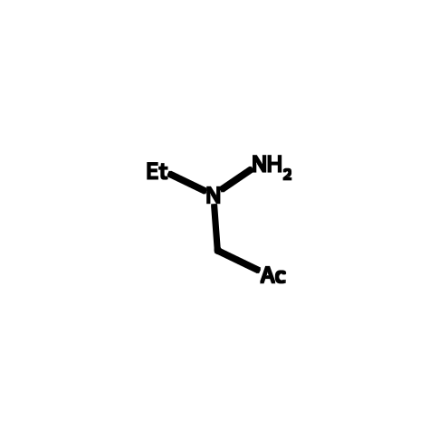 CCN(N)CC(C)=O